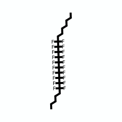 CCCCCCCC(F)(F)C(F)(F)C(F)(F)C(F)(F)C(F)(F)C(F)(F)C(F)(F)C(F)(F)C(F)(F)C(F)(F)CCCCC